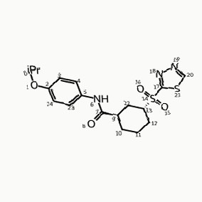 CC(C)Oc1ccc(NC(=O)[C@@H]2CCC[C@@H](S(=O)(=O)c3nncs3)C2)cc1